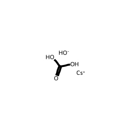 O=C(O)O.[Cs+].[OH-]